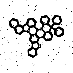 c1ccc(C2(c3ccccc3)c3ccccc3N3B4c5c(cc6c(oc7ccccc76)c5-c5cccc2c53)-n2c3ccc5ccccc5c3c3cccc4c32)cc1